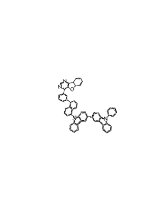 C1=CC2Oc3c(-c4cccc(-c5cccc6c(-n7c8ccccc8c8cc(-c9ccc%10c(c9)c9ccccc9n%10-c9ccccc9)ccc87)cccc56)c4)ncnc3C2C=C1